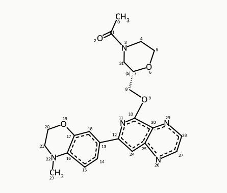 CC(=O)N1CCO[C@H](COc2nc(-c3ccc4c(c3)OCCN4C)cc3nccnc23)C1